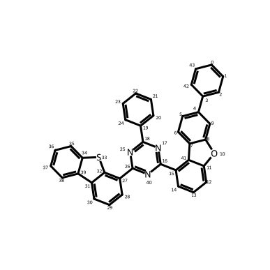 c1ccc(-c2ccc3c(c2)oc2cccc(-c4nc(-c5ccccc5)nc(-c5cccc6c5sc5ccccc56)n4)c23)cc1